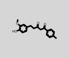 COc1cc(CCC(=O)CC(=O)c2ccc(C)cc2)ccc1O